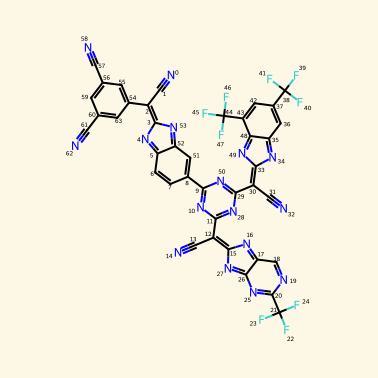 N#C/C(=C1/N=c2ccc(-c3nc(/C(C#N)=C4\N=c5cnc(C(F)(F)F)nc5=N4)nc(/C(C#N)=C4/N=c5cc(C(F)(F)F)cc(C(F)(F)F)c5=N4)n3)cc2=N1)c1cc(C#N)cc(C#N)c1